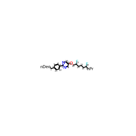 CCCCCCCCCCCc1ccc(-c2ncc(OCC(F)CCCC(F)CCC)cn2)cc1